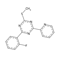 CSc1nc(-c2ccccn2)nc(-c2ccccc2F)n1